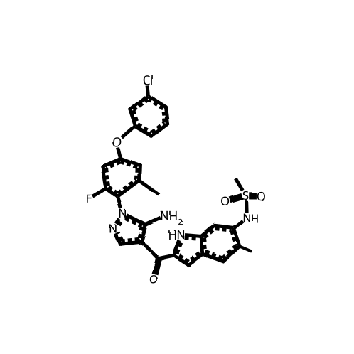 Cc1cc2cc(C(=O)c3cnn(-c4c(C)cc(Oc5cccc(Cl)c5)cc4F)c3N)[nH]c2cc1NS(C)(=O)=O